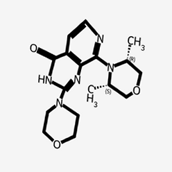 C[C@@H]1COC[C@H](C)N1c1nccc2c(=O)[nH]c(N3CCOCC3)nc12